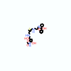 O=C1COc2c(C(O)CNCCc3csc(CNCCc4cnc([C@](O)(c5ccccc5)C5CCCCC5)o4)c3)ccc(O)c2N1